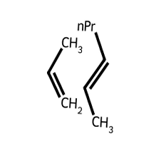 C=CC.CC=CCCC